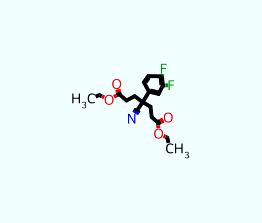 CCOC(=O)CCC(C#N)(CCC(=O)OCC)c1ccc(F)c(F)c1